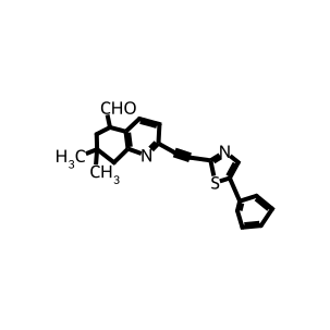 CC1(C)Cc2nc(C#Cc3ncc(-c4ccccc4)s3)ccc2C(C=O)C1